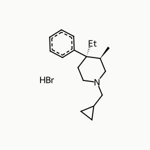 Br.CC[C@@]1(c2ccccc2)CCN(CC2CC2)C[C@@H]1C